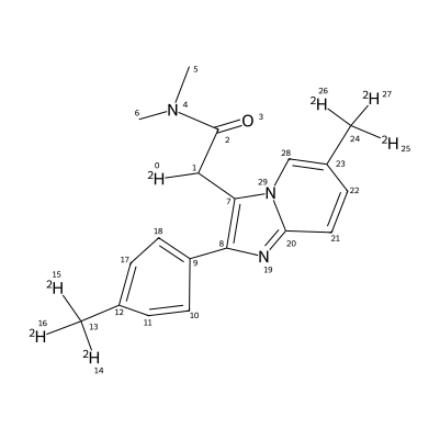 [2H]C(C(=O)N(C)C)c1c(-c2ccc(C([2H])([2H])[2H])cc2)nc2ccc(C([2H])([2H])[2H])cn12